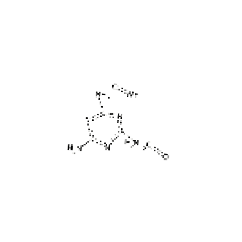 C=O.Nc1nc(N)nc(N)n1.[O]=[Mn]